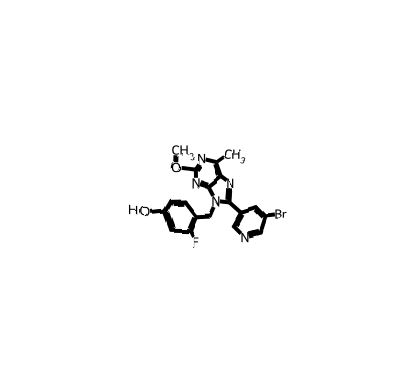 COc1nc(C)c2nc(-c3cncc(Br)c3)n(Cc3ccc(O)cc3F)c2n1